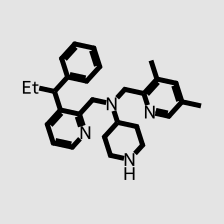 CCC(c1ccccc1)c1cccnc1CN(Cc1ncc(C)cc1C)C1CCNCC1